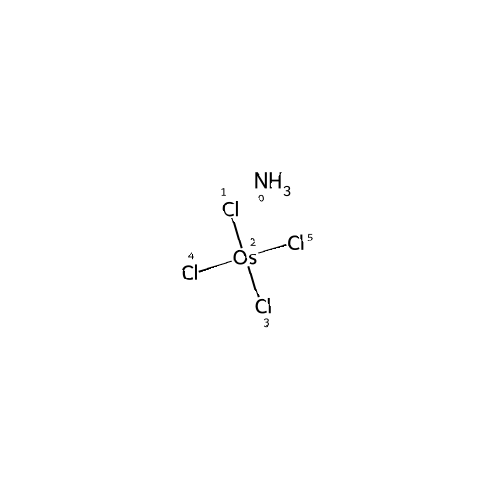 N.[Cl][Os]([Cl])([Cl])[Cl]